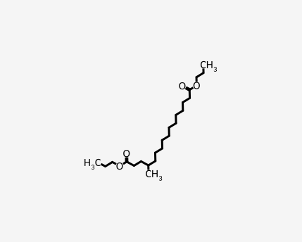 CCCOC(=O)CCCCCCCCCCCC(C)CCC(=O)OCCC